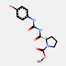 CC(C)(C)OC(=O)N1CCC[C@H]1C(=O)NC(=O)Nc1ccc(Br)cc1